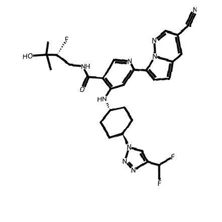 CC(C)(O)[C@H](F)CNC(=O)c1cnc(-c2ccc3cc(C#N)cnn23)cc1N[C@H]1CC[C@H](n2cc(C(F)F)nn2)CC1